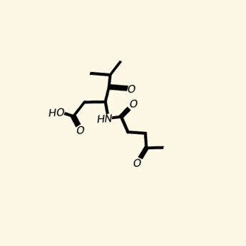 CC(=O)CCC(=O)NC(CC(=O)O)C(=O)C(C)C